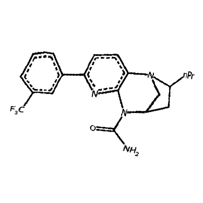 CCCC1CC2CN1c1ccc(-c3cccc(C(F)(F)F)c3)nc1N2C(N)=O